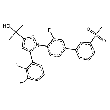 CC(C)(O)c1cc(-c2cccc(F)c2F)n(-c2ccc(-c3cccc(S(C)(=O)=O)c3)cc2F)n1